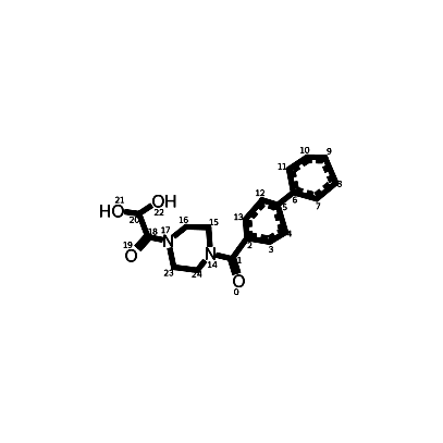 O=C(c1ccc(-c2ccccc2)cc1)N1CCN(C(=O)C(O)O)CC1